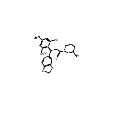 COc1cc(O)c(C(CC(=O)N2CCCC(C(C)C)C2)c2ccc3c(c2)OCO3)c(OC)c1